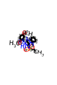 CCCS(=O)(=O)Nc1nc2ccccc2nc1Nc1cc(OC)ccc1OC